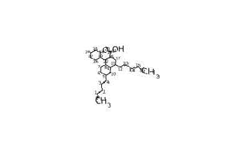 CCCCCC1CCC2C(C1)C(CCCCC)CC(C(=O)O)C2C1CCCCC1